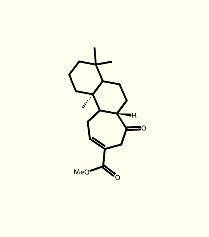 COC(=O)C1=CCC2[C@H](CCC3C(C)(C)CCC[C@]23C)C(=O)C1